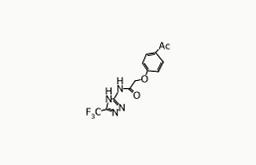 CC(=O)c1ccc(OCC(=O)Nc2nnc(C(F)(F)F)[nH]2)cc1